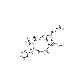 COCOc1cc(OCC[Si](C)(C)C)cc2c1C(=O)O[C@@H](C)[C@H](C)/C=C\C(OC(=O)c1ccccc1)C1OC(C)(C)O[C@H]1C/C=C/2